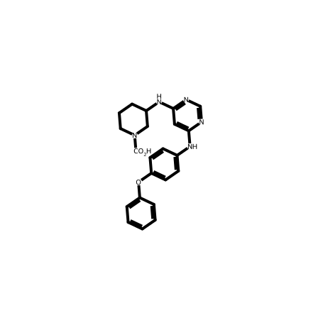 O=C(O)N1CCCC(Nc2cc(Nc3ccc(Oc4ccccc4)cc3)ncn2)C1